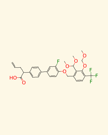 C=CCC(C(=O)O)c1ccc(-c2ccc(OCc3ccc(C(F)(F)F)c(OCOC)c3C(OC)OC)c(F)c2)cc1